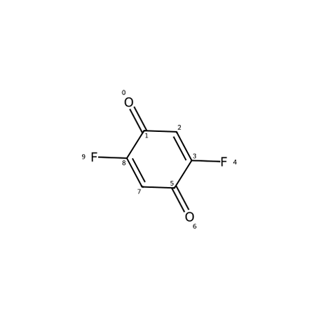 O=C1C=C(F)C(=O)C=C1F